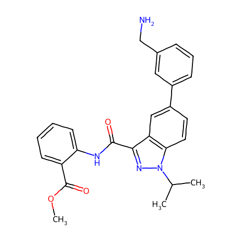 COC(=O)c1ccccc1NC(=O)c1nn(C(C)C)c2ccc(-c3cccc(CN)c3)cc12